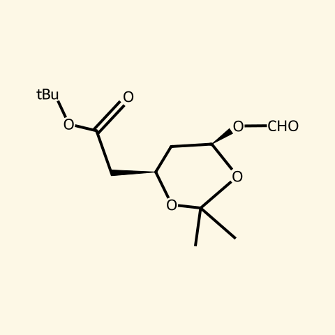 CC(C)(C)OC(=O)C[C@H]1C[C@@H](OC=O)OC(C)(C)O1